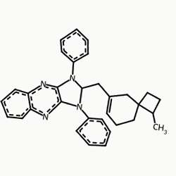 CC1CCC12CCC=C(CC1N(c3ccccc3)c3nc4ccccc4nc3N1c1ccccc1)C2